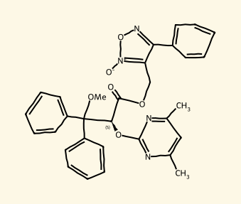 COC(c1ccccc1)(c1ccccc1)[C@H](Oc1nc(C)cc(C)n1)C(=O)OCc1c(-c2ccccc2)no[n+]1[O-]